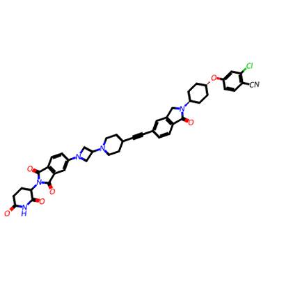 N#Cc1ccc(O[C@H]2CC[C@H](N3Cc4cc(C#CC5CCN(C6CN(c7ccc8c(c7)C(=O)N(C7CCC(=O)NC7=O)C8=O)C6)CC5)ccc4C3=O)CC2)cc1Cl